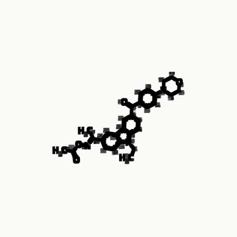 CCn1c2ccc(C(=O)c3ccc(N4CCOCC4)cc3)cc2c2cc(C(C)=NOC(C)=O)ccc21